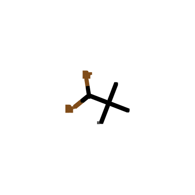 [CH2]C(C)(C)[C](Br)Br